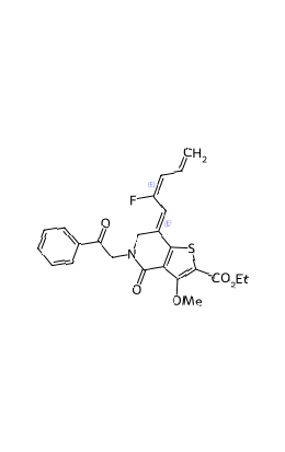 C=C/C=C(F)\C=C1/CN(CC(=O)c2ccccc2)C(=O)c2c1sc(C(=O)OCC)c2OC